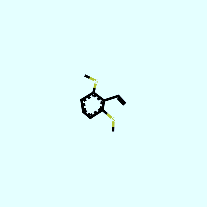 C=Cc1c(SC)cccc1SC